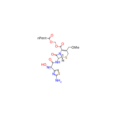 CCCCCC(=O)OCOC(=O)C1=C(COC)CS[C@@H]2C(NC(=O)/C(=N\O)c3csc(N)n3)C(=O)N12